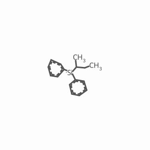 CCC(C)[Si](c1ccccc1)c1ccccc1